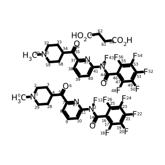 CN1CCC(C(=O)c2cccc(N(F)C(=O)c3c(F)c(F)c(F)c(F)c3F)n2)CC1.CN1CCC(C(=O)c2cccc(N(F)C(=O)c3c(F)c(F)c(F)c(F)c3F)n2)CC1.O=C(O)CCC(=O)O